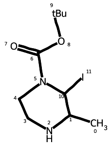 CC1NCCN(C(=O)OC(C)(C)C)C1I